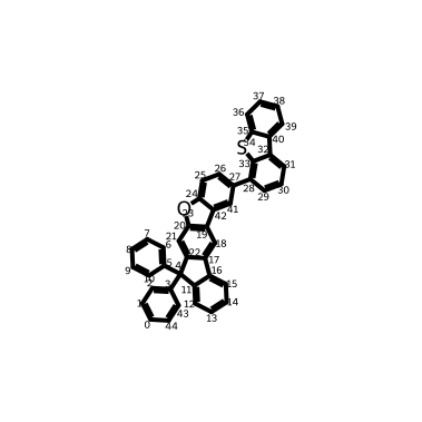 c1ccc(C2(c3ccccc3)c3ccccc3-c3cc4c(cc32)oc2ccc(-c3cccc5c3sc3ccccc35)cc24)cc1